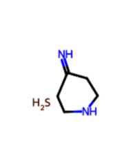 N=C1CCNCC1.S